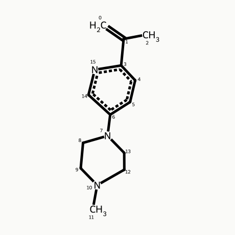 C=C(C)c1ccc(N2CCN(C)CC2)cn1